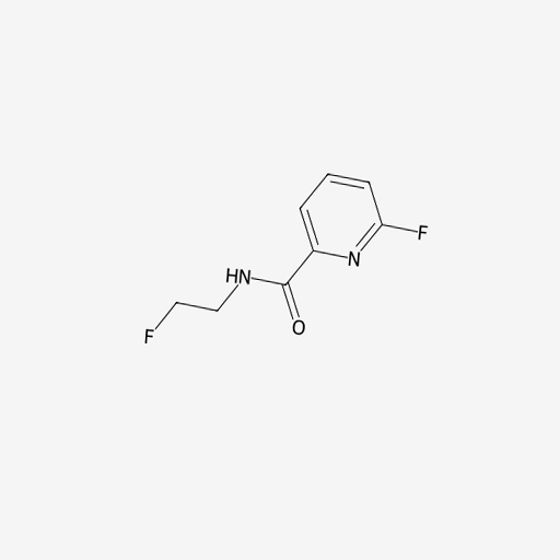 O=C(NCCF)c1cccc(F)n1